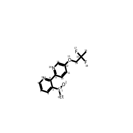 CC[S+]([O-])c1cccnc1-c1ccc(OCC(C)(F)F)cn1